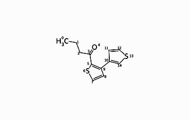 CCCC(=O)c1sccc1-c1ccsc1